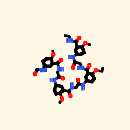 CCNC(=O)c1cc(NC(=O)CNC(=O)c2cc(NC(=O)CNC(=O)c3cc(NC(=O)CNC(=O)c4cc(NC=O)ccc4OC)ccc3OC)ccc2OCC)ccc1OC